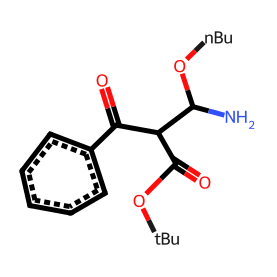 CCCCOC(N)C(C(=O)OC(C)(C)C)C(=O)c1ccccc1